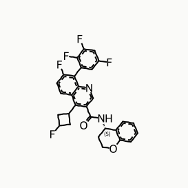 O=C(N[C@H]1CCOc2ccccc21)c1cnc2c(-c3cc(F)cc(F)c3F)c(F)ccc2c1C1CC(F)C1